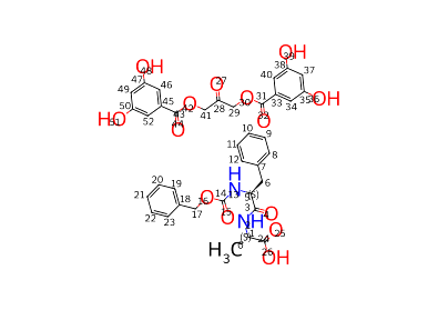 C[C@H](NC(=O)[C@H](Cc1ccccc1)NC(=O)OCc1ccccc1)C(=O)O.O=C(COC(=O)c1cc(O)cc(O)c1)COC(=O)c1cc(O)cc(O)c1